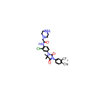 CC1(C)C(=O)N(c2ccc(C#N)c(C(F)(F)F)c2)C(=O)N1c1ccc(NC(=O)CN2CCNCC2)c(Cl)c1